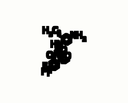 CCC[C@@H]1C[C@H](N)CC[C@@H]1NC(=O)CNC(=O)c1cc(C(F)(F)F)ccc1N1CCOCC1